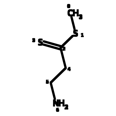 CSC(=S)CCN